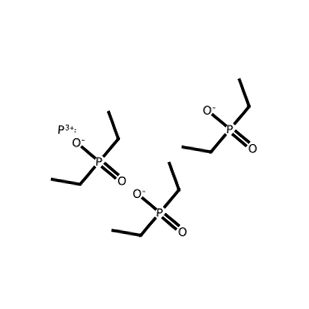 CCP(=O)([O-])CC.CCP(=O)([O-])CC.CCP(=O)([O-])CC.[P+3]